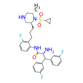 C[C@H]1CNC[C@H](CCCc2c(F)cccc2NC(=O)[C@@H](N)C(c2cccc(F)c2)c2cccc(F)c2)N1S(=O)(=O)C1CC1